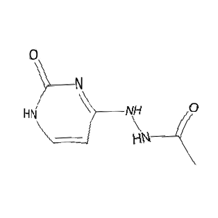 CC(=O)NNc1cc[nH]c(=O)n1